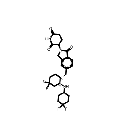 O=C1CCC(N2Cc3cc(C[C@H]4CCC(F)(F)C[C@@H]4NC4CCC(F)(F)CC4)ccc3C2=O)C(=O)N1